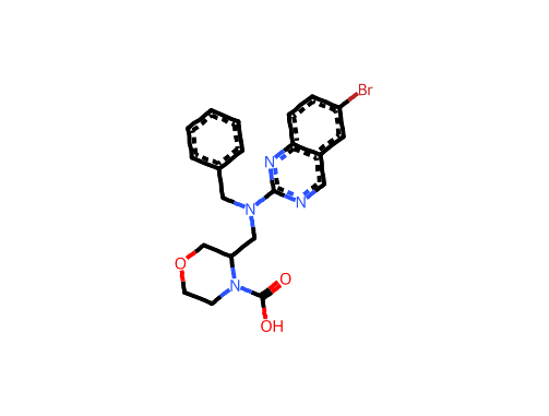 O=C(O)N1CCOCC1CN(Cc1ccccc1)c1ncc2cc(Br)ccc2n1